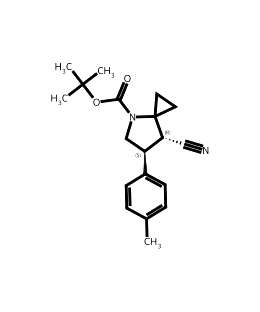 Cc1ccc([C@H]2CN(C(=O)OC(C)(C)C)C3(CC3)[C@@H]2C#N)cc1